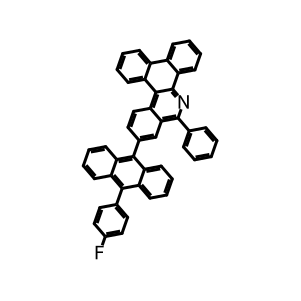 Fc1ccc(-c2c3ccccc3c(-c3ccc4c(c3)c(-c3ccccc3)nc3c5ccccc5c5ccccc5c43)c3ccccc23)cc1